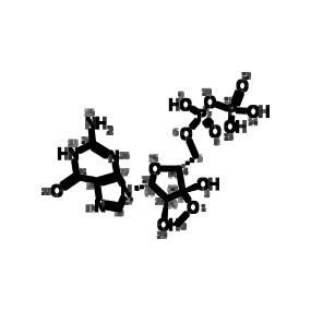 CO[C@@]1(O)[C@@H](COP(=O)(O)OP(=O)(O)O)O[C@@H](n2cnc3c(=O)[nH]c(N)nc32)[C@@H]1O